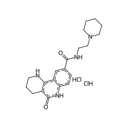 Cl.Cl.O=C(NCCN1CCCCC1)c1ccc2[nH]c(=O)c3c(c2c1)NCCC3